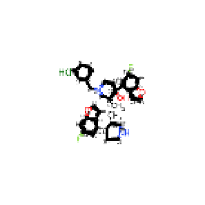 CC1CN(Cc2ccccc2)CCC1(O)c1cc(F)cc2occc12.C[C@@H]1CNCC[C@@H]1c1cc(F)cc2occc12.Cl